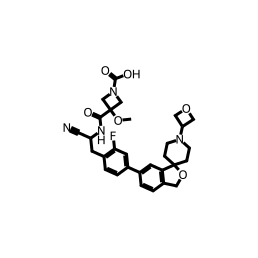 COC1(C(=O)NC(C#N)Cc2ccc(-c3ccc4c(c3)C3(CCN(C5COC5)CC3)OC4)cc2F)CN(C(=O)O)C1